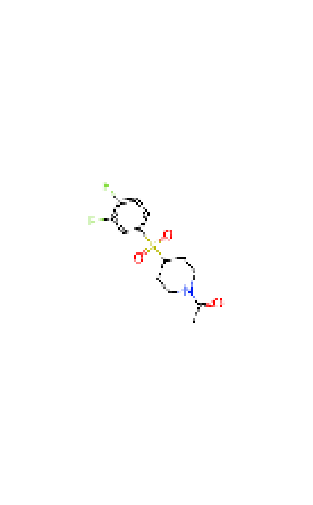 CC(=O)N1CCC(S(=O)(=O)c2ccc(F)c(F)c2)CC1